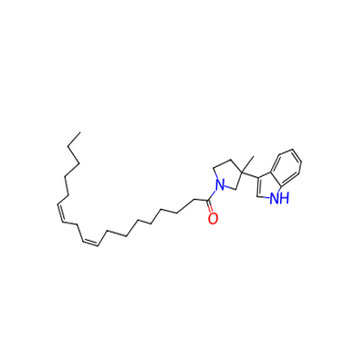 CCCCC/C=C\C/C=C\CCCCCCCC(=O)N1CCC(C)(c2c[nH]c3ccccc23)C1